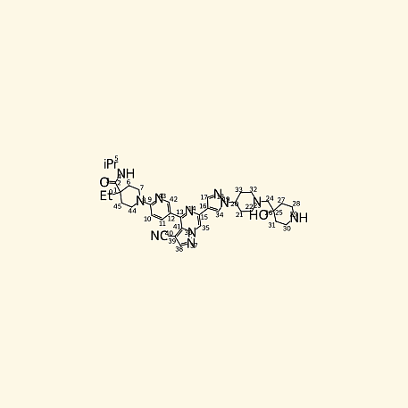 CCC1(C(=O)NC(C)C)CCN(c2ccc(-c3nc(-c4cnn(C5CCN(CC6(O)CCNCC6)CC5)c4)cn4ncc(C#N)c34)cn2)CC1